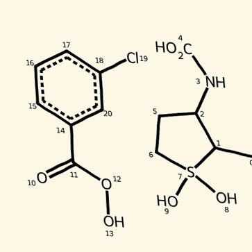 CC1C(NC(=O)O)CCS1(O)O.O=C(OO)c1cccc(Cl)c1